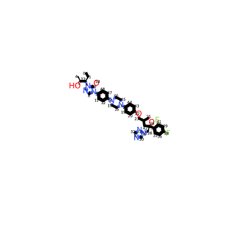 CC[C@H]([C@H](C)O)n1ncn(-c2ccc(N3CCN(c4ccc(OCC5CO[C@](Cn6cncn6)(c6ccc(F)cc6F)C5)cc4)CC3)cc2)c1=O